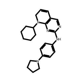 C1=Cc2cnc(Nc3ccc(N4CCCC4)cc3)nc2N(C2CCCCC2)C1